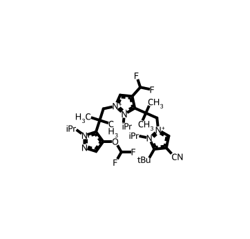 CC(C)n1ncc(OC(F)F)c1C(C)(C)C[n+]1cc(C(F)F)c(C(C)(C)C[n+]2cc(C#N)c(C(C)(C)C)n2C(C)C)n1C(C)C